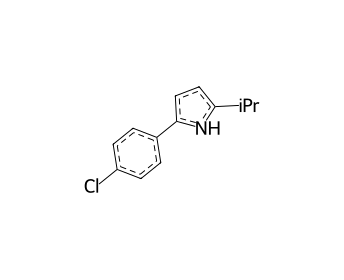 CC(C)c1ccc(-c2ccc(Cl)cc2)[nH]1